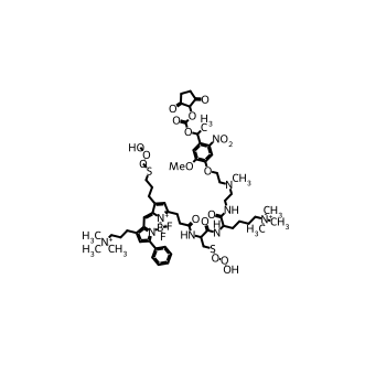 COc1cc(C(C)OC(=O)OC2C(=O)CCC2=O)c([N+](=O)[O-])cc1OCCN(C)CCNC(=O)C(CCCC[N+](C)(C)C)NC(=O)C(CSOOO)NC(=O)CCC1=[N+]2C(=Cc3c(CCC[N+](C)(C)C)cc(-c4ccccc4)n3[B-]2(F)F)C(CCCSOOO)=C1